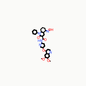 COc1cc2nccc(Oc3ccc(NC(=O)c4cc5c(n(-c6ccccc6)c4=O)CCCC5=NO)nc3)c2cc1OC